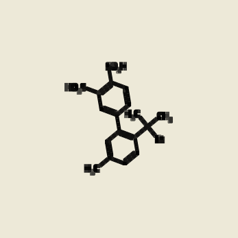 CCC(C)(C)c1ccc(C)cc1-c1ccc(S(=O)(=O)O)c(S(=O)(=O)O)c1